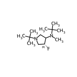 CN(C1CN(C(C)(C)C)C[C@H]1F)C(C)(C)C